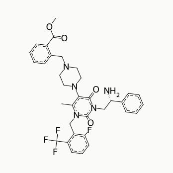 COC(=O)c1ccccc1CN1CCN(c2c(C)n(Cc3c(F)cccc3C(F)(F)F)c(=O)n(C[C@H](N)c3ccccc3)c2=O)CC1